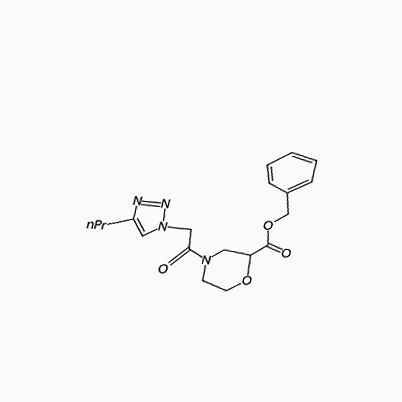 CCCc1cn(CC(=O)N2CCOC(C(=O)OCc3ccccc3)C2)nn1